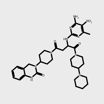 Cc1nc(NC(CC(=O)N2CCC(N3Cc4ccccc4NC3=O)CC2)C(=O)N2CCC(N3CCCCC3)CC2)nc(N)c1[N+](=O)[O-]